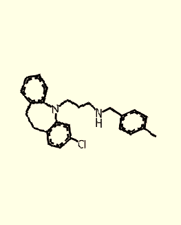 Cc1ccc(CNCCCN2c3ccccc3CCc3ccc(Cl)cc32)cc1